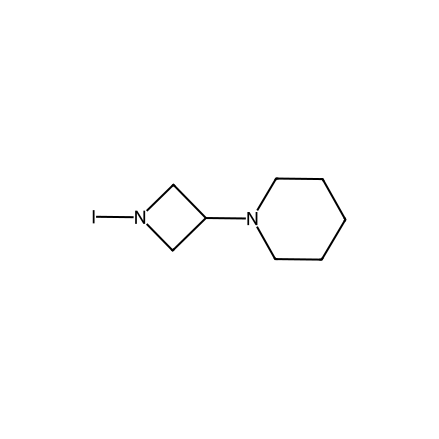 IN1CC(N2CCCCC2)C1